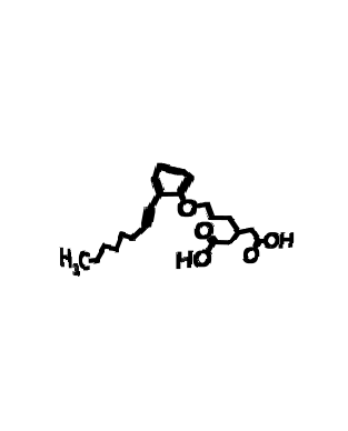 CCCCCCC#Cc1ccccc1OCCCC(CC(=O)O)CC(=O)O